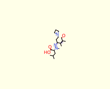 C/C(C=O)=C(C)/C(CCN1CCC1)=N\N(C)C(CC(C)C)C(=O)O